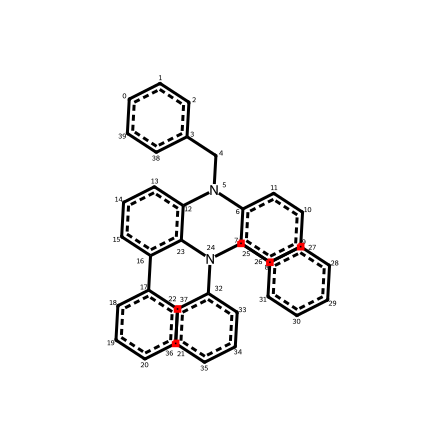 c1ccc(CN(c2ccccc2)c2cccc(-c3ccccc3)c2N(Cc2ccccc2)c2ccccc2)cc1